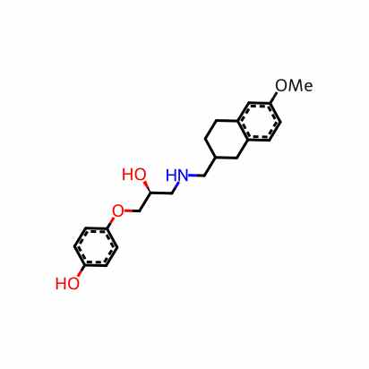 COc1ccc2c(c1)CCC(CNC[C@H](O)COc1ccc(O)cc1)C2